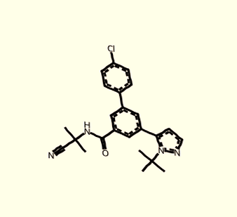 CC(C)(C#N)NC(=O)c1cc(-c2ccc(Cl)cc2)cc(-c2ccnn2C(C)(C)C)c1